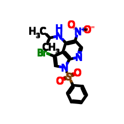 CC(C)Nc1c([N+](=O)[O-])cnc2c1c(Br)cn2S(=O)(=O)c1ccccc1